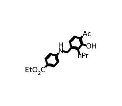 CCCc1c(CNc2ccc(C(=O)OCC)cc2)ccc(C(C)=O)c1O